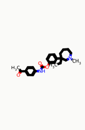 CCC1(c2cccc(OC(=O)Nc3ccc(C(C)=O)cc3)c2)CCCCN(C)C1